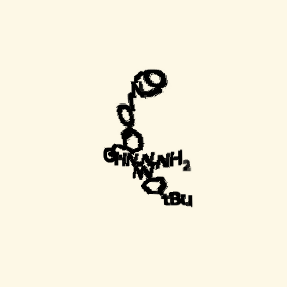 CC(C)(C)c1ccc(-n2nc(NC3C=CC(OCCN4CCOCC4)=CC3=C=O)nc2N)cc1